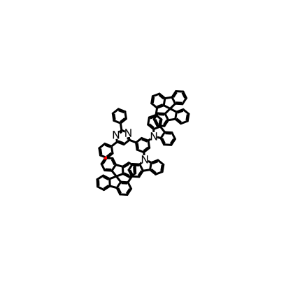 c1ccc(-c2cc(-c3cc(-n4c5ccccc5c5cc(-c6cccc7c6C6(c8ccccc8-c8ccccc86)c6ccccc6-7)ccc54)cc(-n4c5ccccc5c5cc(-c6cccc7c6C6(c8ccccc8-c8ccccc86)c6ccccc6-7)ccc54)c3)nc(-c3ccccc3)n2)cc1